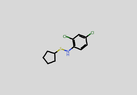 Clc1ccc(NSC2CCCC2)c(Cl)c1